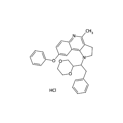 Cc1nc2ccc(Oc3ccccc3)cc2c2c1CCN2C(Cc1ccccc1)C1COCCO1.Cl